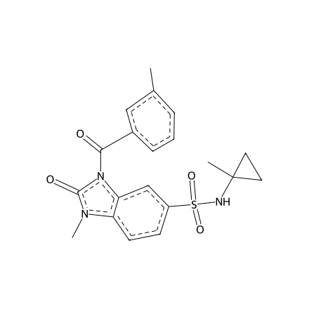 Cc1cccc(C(=O)n2c(=O)n(C)c3ccc(S(=O)(=O)NC4(C)CC4)cc32)c1